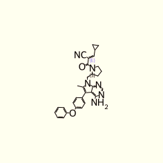 Cc1c(-c2ccc(Oc3ccccc3)cc2)c2c(N)ncnc2n1C[C@@H]1CCCN1C(=O)/C(C#N)=C/C1CC1